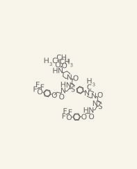 CC(C)(C)OC(=O)NC1CCN(C(=O)c2csc(CNC(=O)COc3ccc(OC(F)(F)F)cc3)n2)CC1.CC1CN(C(=O)c2csc(CNC(=O)COc3ccc(OC(F)(F)F)cc3)n2)CCN1c1ccccc1